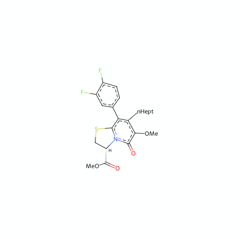 CCCCCCCc1c(-c2ccc(F)c(F)c2)c2n(c(=O)c1OC)[C@H](C(=O)OC)CS2